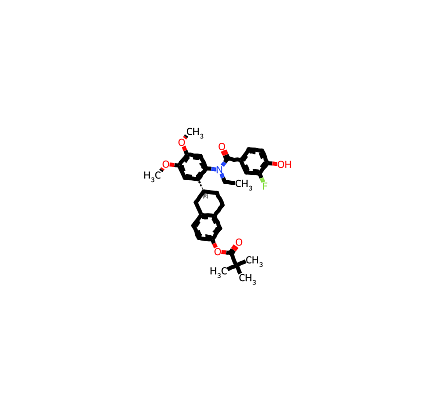 CCN(C(=O)c1ccc(O)c(F)c1)c1cc(OC)c(OC)cc1[C@@H]1CCc2cc(OC(=O)C(C)(C)C)ccc2C1